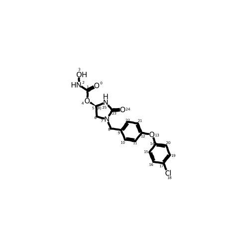 O=C(NO)O[C@@H]1CN(Cc2ccc(Oc3ccc(Cl)cc3)cc2)C(=O)N1